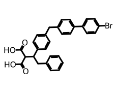 O=C(O)C(C(=O)O)C(Cc1ccccc1)c1ccc(Cc2ccc(-c3ccc(Br)cc3)cc2)cc1